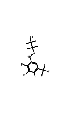 CC(C)(O)C(C)(C)OBc1cc(C(F)(F)F)c(F)c(O)c1F